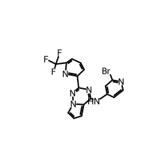 FC(F)(F)c1cccc(-c2nc(Nc3ccnc(Br)c3)c3cccn3n2)n1